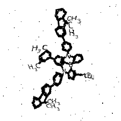 Cc1cc(C)cc(-c2cc3c4c(c2)N(c2ccc(-c5ccc6c(c5)C(C)(C)c5ccccc5-6)cc2)c2ccc(C(C)(C)C)cc2B4c2ccccc2N3c2ccc(-c3ccc4c(c3)C(C)(C)c3ccccc3-4)cc2)c1